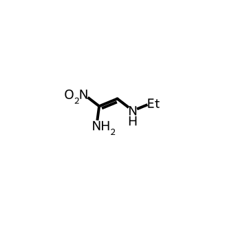 CCNC=C(N)[N+](=O)[O-]